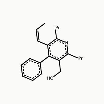 C/C=C\c1c(C(C)C)nc(C(C)C)c(CO)c1-c1ccccc1